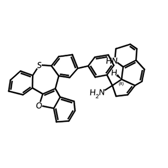 NC1(c2cccc(-c3ccc4c(c3)-c3c(oc5ccccc35)-c3ccccc3S4)c2)CC=C2C=CC3=C(NCC=C3)[C@H]21